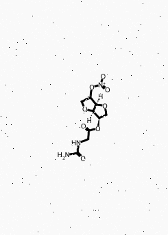 NC(=O)NCC(=O)O[C@@H]1CO[C@@H]2C(O[N+](=O)[O-])CO[C@@H]21